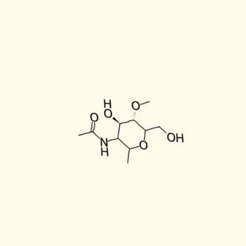 CO[C@@H]1C(CO)OC(C)C(NC(C)=O)[C@H]1O